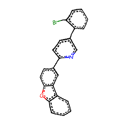 Brc1ccccc1-c1ccc(-c2ccc3oc4ccccc4c3c2)nc1